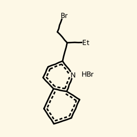 Br.CCC(CBr)c1ccc2ccccc2n1